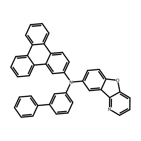 c1ccc(-c2cccc(N(c3ccc4c5ccccc5c5ccccc5c4c3)c3ccc4oc5cccnc5c4c3)c2)cc1